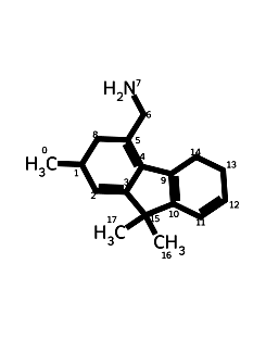 CC1C=C2C(=C(CN)C1)C1=C(C=CCC1)C2(C)C